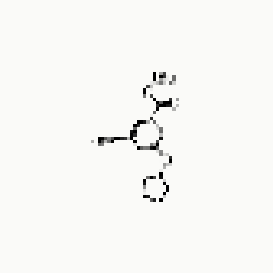 [C]#CC1=CN(C(=O)OC(C)(C)C)CC(OC2CCCC2)=C1